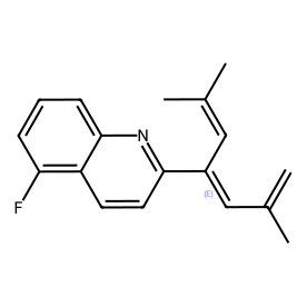 C=C(C)/C=C(\C=C(C)C)c1ccc2c(F)cccc2n1